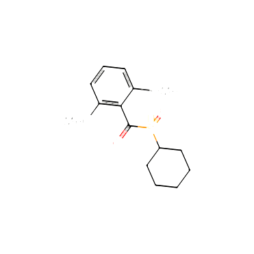 COc1cccc(OC)c1C(=O)[PH](=O)C1CCCCC1